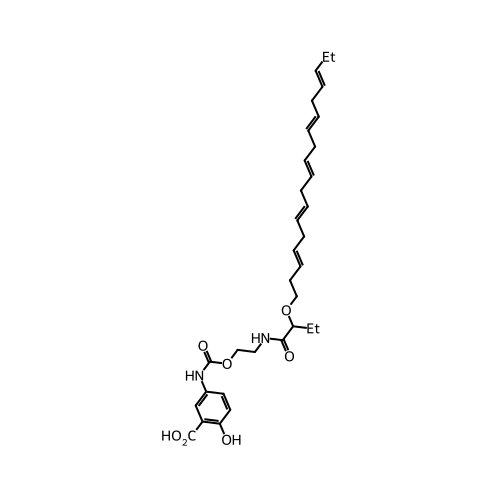 CCC=CCC=CCC=CCC=CCC=CCCOC(CC)C(=O)NCCOC(=O)Nc1ccc(O)c(C(=O)O)c1